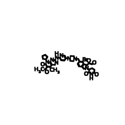 CC(=O)c1c(C)c2cnc(Nc3ccc(N4CCN(Cc5ccc6c(c5Br)C(C(=O)C=O)N(C5CCC(=O)NC5=O)C6)CC4)cn3)nc2n(C2CCCC2)c1=O